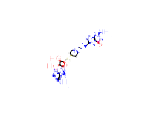 Nc1nc2ncc(CNCCN3CCC(SC[C@H]4O[C@@H](n5cnc6c(N)ncnc65)C(O)[C@H]4O)CC3)nc2c(=O)[nH]1